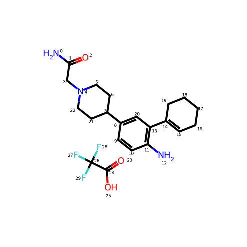 NC(=O)CN1CCC(c2ccc(N)c(C3=CCCCC3)c2)CC1.O=C(O)C(F)(F)F